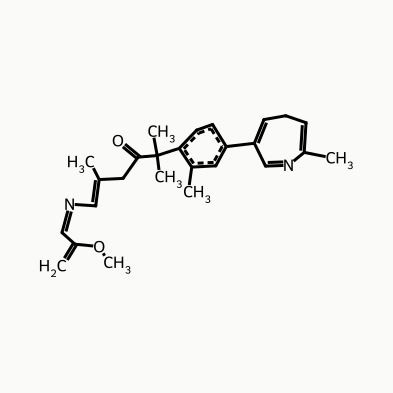 C=C(/C=N\C=C(/C)CC(=O)C(C)(C)c1ccc(C2=CCC=C(C)N=C2)cc1C)OC